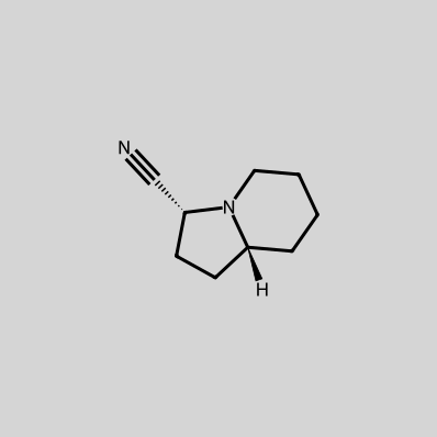 N#C[C@H]1CC[C@H]2CCCCN21